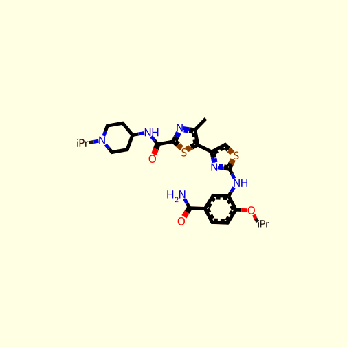 Cc1nc(C(=O)NC2CCN(C(C)C)CC2)sc1-c1csc(Nc2cc(C(N)=O)ccc2OC(C)C)n1